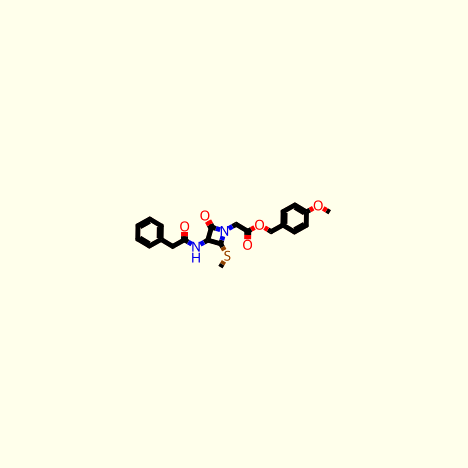 COc1ccc(COC(=O)CN2C(=O)C(NC(=O)Cc3ccccc3)C2SC)cc1